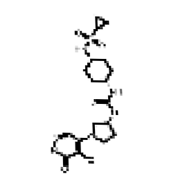 O=C(N[C@H]1CC[C@H](NS(=O)(=O)C2CC2)CC1)O[C@@H]1CCN(c2cn[nH]c(=O)c2Cl)C1